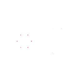 O=C(O)CCC12C3=C(CCNC3)C(c3ccccc31)c1ccccc12